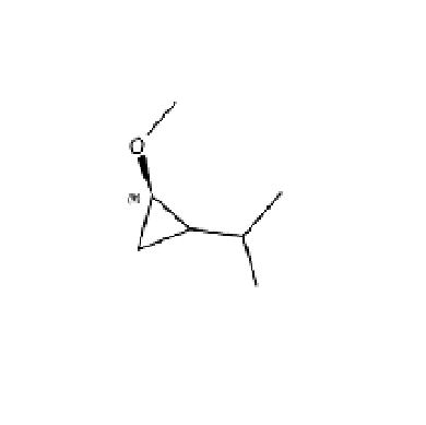 CO[C@@H]1CC1C(C)C